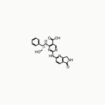 O=C1NCc2nc(Nc3ncc(C(=O)O)c(N[C@H](CO)c4ccccc4)n3)ccc21